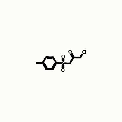 Cc1ccc(S(=O)(=O)CC(=O)CCl)cc1